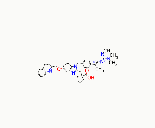 C=N/C(=N\C=C(/C)c1ccc(Cn2c(CC3(C(=O)O)CCCC3)nc3cc(OCc4ccc5ccccc5n4)ccc32)cc1)N(C)C